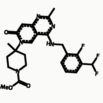 COC(=O)N1CCC(C)(n2cc3c(NCc4cccc(C(F)F)c4F)nc(C)nc3cc2=O)CC1